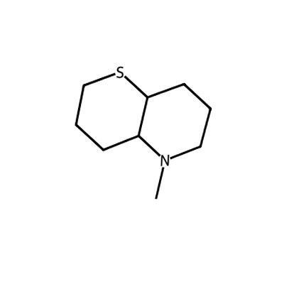 CN1CCCC2SCCCC21